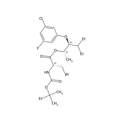 CCC(CC)[C@H](Oc1cc(F)cc(Cl)c1)[C@H](C)OC(=O)[C@H](CC(C)C)NC(=O)OC(C)(C)CC